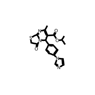 CC1=C(C(=O)OC(C)C)C(c2ccc(-n3ccnc3)cc2)N2C(=O)CSC2=N1